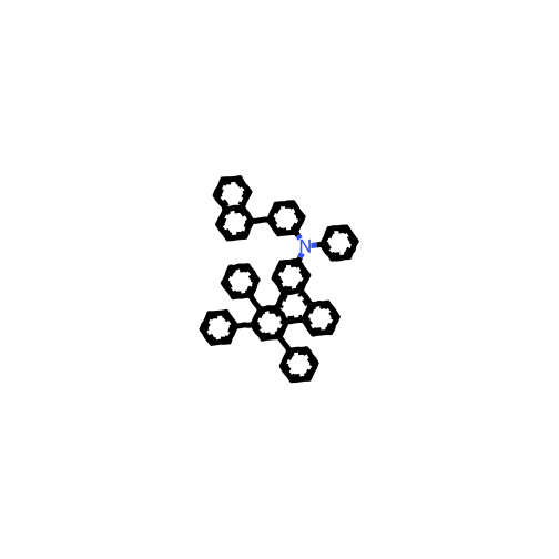 c1ccc(-c2cc(-c3ccccc3)c3c4ccccc4c4cc(N(c5ccccc5)c5cccc(-c6cccc7ccccc67)c5)ccc4c3c2-c2ccccc2)cc1